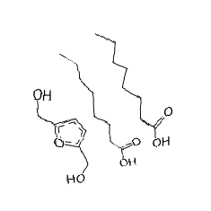 CCCCCCCC(=O)O.CCCCCCCC(=O)O.OCc1ccc(CO)o1